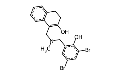 CN(CC1=C(O)CCc2ccccc21)Cc1cc(Br)cc(Br)c1O